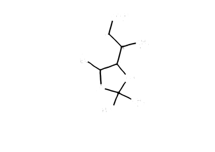 CCC1OC(C)(C)OC1C(C)CC(=O)O